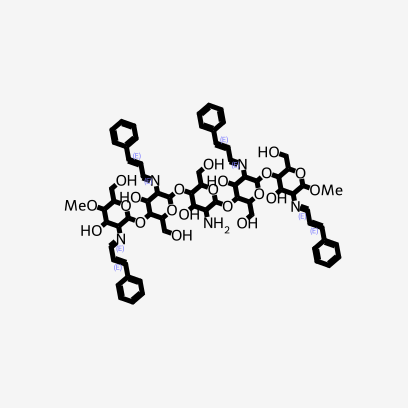 COC1OC(CO)C(OC2OC(CO)C(OC3OC(CO)C(OC4OC(CO)C(OC5OC(CO)C(OC)C(O)C5/N=C/C=C/c5ccccc5)C(O)C4/N=C/C=C/c4ccccc4)C(O)C3N)C(O)C2/N=C/C=C/c2ccccc2)C(O)C1/N=C/C=C/c1ccccc1